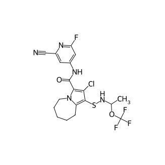 CC(NSc1c(Cl)c(C(=O)Nc2cc(F)nc(C#N)c2)n2c1CCCCC2)OC(F)(F)F